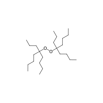 CCCCC(CCC)(CCCC)OOC(CCC)(CCCC)CCCC